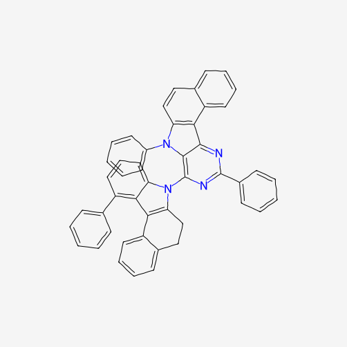 c1ccc(-c2nc(-n3c4c(c5c(-c6ccccc6)cccc53)-c3ccccc3CC4)c3c(n2)c2c4ccccc4ccc2n3-c2ccccc2)cc1